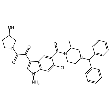 CC1CN(C(c2ccccc2)c2ccccc2)CCN1C(=O)c1cc2c(C(=O)C(=O)N3CCC(O)C3)cn(N)c2cc1Cl